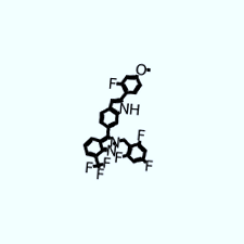 COc1ccc(-c2cc3ccc(-c4c5cccc(C(F)(F)F)c5nn4Cc4c(F)cc(F)cc4F)cc3[nH]2)c(F)c1